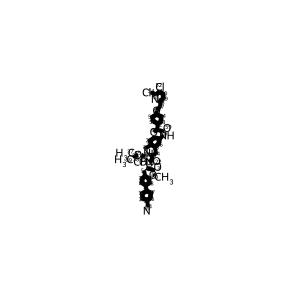 COC(=O)[C@H](Cc1ccc(-c2ccc(C#N)cc2)cc1)NC(=O)C1Cc2cc3c(cc2CN1C(=O)OC(C)(C)C)OC(c1ccc(OCc2ccc(Cl)c(Cl)n2)cc1)C(=O)N3